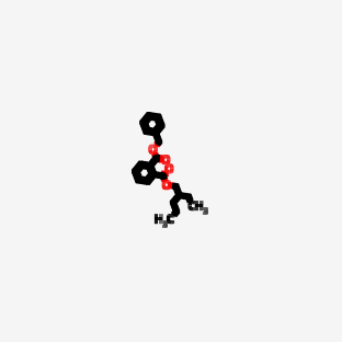 CCCC(CC)COC(=O)c1ccccc1C(=O)OCc1ccccc1